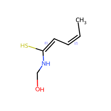 C/C=C\C=C(\S)NCO